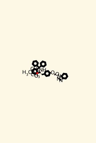 CC(C)(C)OC(=O)[C@@H](Cc1ccc(OCOn2nnc3ccccc32)cc1)NC(c1ccccc1)(c1ccccc1)c1ccccc1